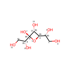 OC[C@@H](O)[C@H]1O[C@](O)([C@H](O)CO)[C@@H]1O